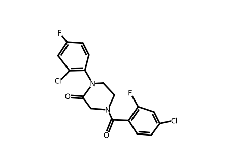 O=C(c1ccc(Cl)cc1F)N1CCN(c2ccc(F)cc2Cl)C(=O)C1